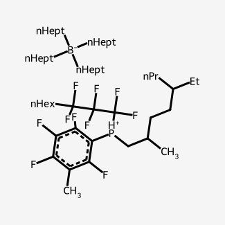 CCCCCCC(F)(F)C(F)(F)C(F)(F)[PH+](CC(C)CCC(CC)CCC)c1c(F)c(C)c(F)c(F)c1F.CCCCCCC[B-](CCCCCCC)(CCCCCCC)CCCCCCC